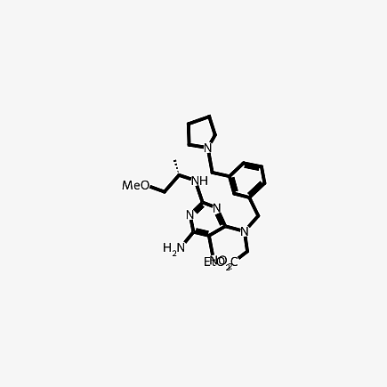 CCOC(=O)CN(Cc1cccc(CN2CCCC2)c1)c1nc(N[C@@H](C)COC)nc(N)c1[N+](=O)[O-]